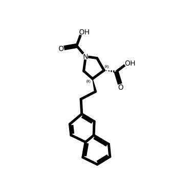 O=C(O)[C@H]1CN(C(=O)O)C[C@@H]1CCc1ccc2ccccc2c1